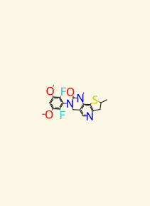 COc1cc(OC)c(F)c(N2Cc3cnc4c(c3N(C)C2=O)SC(C)C4)c1F